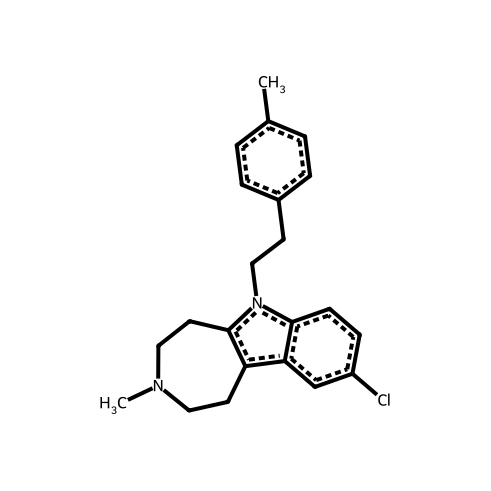 Cc1ccc(CCn2c3c(c4cc(Cl)ccc42)CCN(C)CC3)cc1